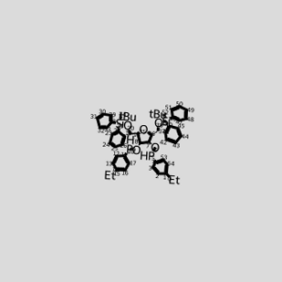 CCc1ccc(PO[C@H]2[C@H](OPc3ccc(CC)cc3)[C@@H](CO[Si](c3ccccc3)(c3ccccc3)C(C)(C)C)O[C@@H]2CO[Si](c2ccccc2)(c2ccccc2)C(C)(C)C)cc1